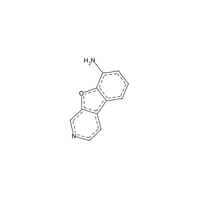 Nc1cccc2c1oc1cnccc12